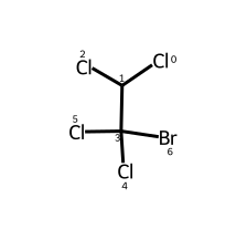 ClC(Cl)C(Cl)(Cl)Br